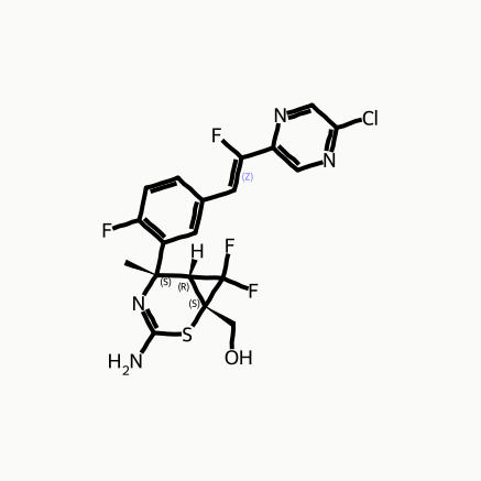 C[C@]1(c2cc(/C=C(\F)c3cnc(Cl)cn3)ccc2F)N=C(N)S[C@]2(CO)[C@H]1C2(F)F